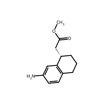 COC(=O)C[C@@H]1CCCc2ccc(N)cc21